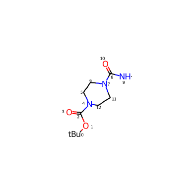 CC(C)(C)OC(=O)N1CCN(C([NH])=O)CC1